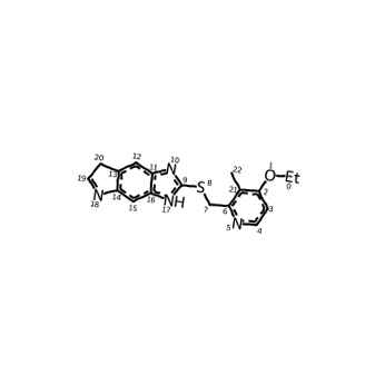 CCOc1ccnc(CSc2nc3cc4c(cc3[nH]2)N=CC4)c1C